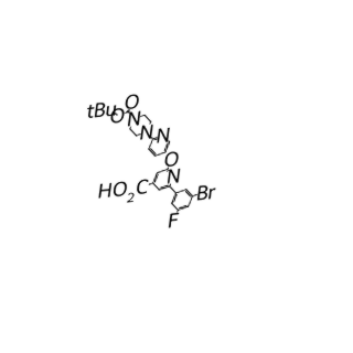 CC(C)(C)OC(=O)N1CCN(c2ccc(Oc3cc(C(=O)O)cc(-c4cc(F)cc(Br)c4)n3)cn2)CC1